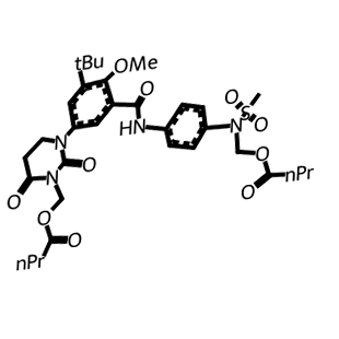 CCCC(=O)OCN1C(=O)CCN(c2cc(C(=O)Nc3ccc(N(COC(=O)CCC)S(C)(=O)=O)cc3)c(OC)c(C(C)(C)C)c2)C1=O